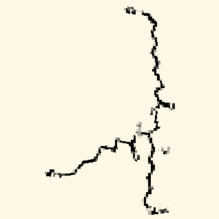 CCCCCCCC/C=C\CCCCCCCC(=O)OC[C@H](NC(=O)CCCCCCCCCCCCCCCC)[C@H](O)/C=C/CCCCCCCCCCCCC